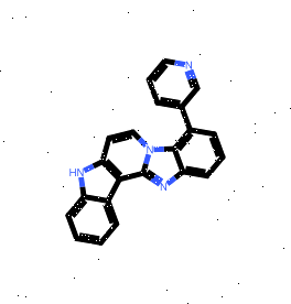 c1cncc(-c2cccc3nc4c5c(ccn4c23)[nH]c2ccccc25)c1